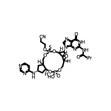 CC(C)C(=O)Nc1nc2c(ncn2[C@@H]2O[C@@H]3COP(=O)(O)O[C@H]4C[C@H](Nc5ccncn5)C[C@@H]4COP(=S)(OCCC#N)O[C@@H]2[C@@H]3C)c(=O)[nH]1